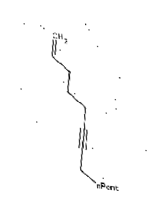 C=CCCCC#CCCCCCC